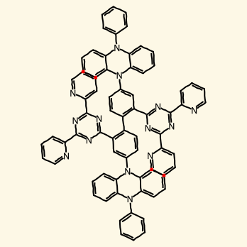 c1ccc(N2c3ccccc3N(c3ccc(-c4ccc(N5c6ccccc6N(c6ccccc6)c6ccccc65)cc4-c4nc(-c5ccccn5)nc(-c5ccccn5)n4)c(-c4nc(-c5ccccn5)nc(-c5ccccn5)n4)c3)c3ccccc32)cc1